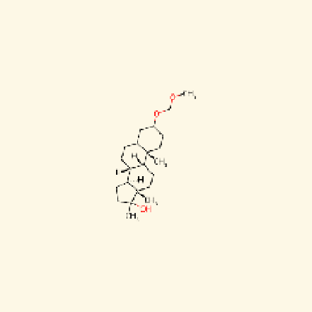 COCOC1CC[C@@]2(C)C(CC[C@@H]3[C@H]2CC[C@@]2(C)[C@H]3CCC2(C)O)C1